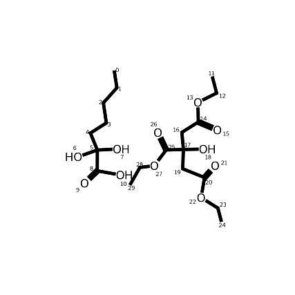 CCCCCC(O)(O)C(=O)O.CCOC(=O)CC(O)(CC(=O)OCC)C(=O)OCC